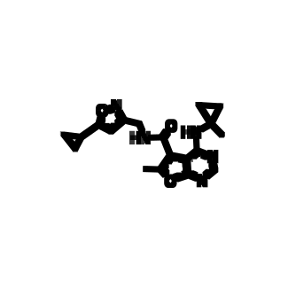 Cc1oc2ncnc(NC3(C)CC3)c2c1C(=O)NCc1cc(C2CC2)on1